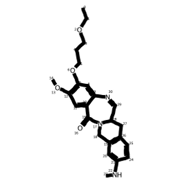 CCOCCCOc1cc2c(cc1OC)C(=O)N1Cc3cc(NC)ccc3CC1C=N2